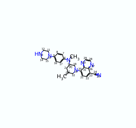 C[C@H]1C[C@@H](N(C)c2ccc(N3CCNCC3)cc2)CN(c2ccc(C#N)c3nccnc23)C1